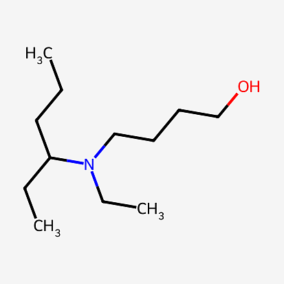 CCCC(CC)N(CC)CCCCO